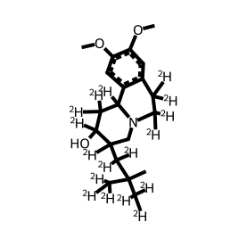 [2H]C([2H])([2H])C(C)(C([2H])([2H])[2H])C([2H])([2H])C1([2H])CN2C([2H])([2H])C([2H])([2H])c3cc(OC)c(OC)cc3C2([2H])C([2H])([2H])C1([2H])O